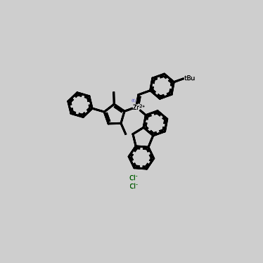 CC1=[C](/[Zr+2](=[CH]/c2ccc(C(C)(C)C)cc2)[c]2cccc3c2Cc2ccccc2-3)C(C)C=C1c1ccccc1.[Cl-].[Cl-]